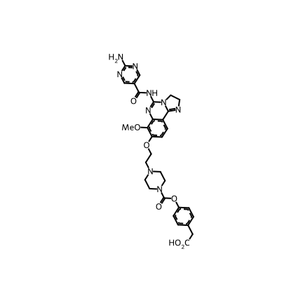 COc1c(OCCN2CCN(C(=O)Oc3ccc(CC(=O)O)cc3)CC2)ccc2c1N=C(NC(=O)c1cnc(N)nc1)N1CCN=C21